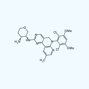 COc1cc(OC)c(Cl)c(N2Cc3cnc(N[C@@H]4COCC[C@@H]4N)nc3-c3cc(C)cnc32)c1Cl